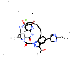 CC(=O)c1nn2c3c(cc(-c4cnc(C)nc4)cc13)CCCCCCC(=O)NC[C@@]13C[C@@H](C(=O)Nc4nc(Br)c(F)cc4C)N(C(=O)C2)C1[C@@H]3C